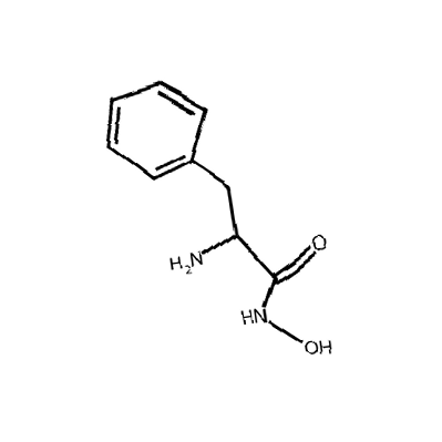 NC(Cc1ccccc1)C(=O)NO